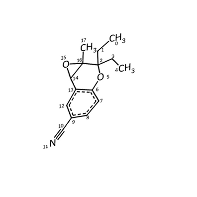 CCC1(CC)Oc2ccc(C#N)cc2C2OC21C